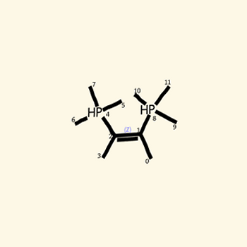 C/C(=C(\C)[PH](C)(C)C)[PH](C)(C)C